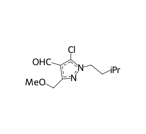 COCc1nn(CCC(C)C)c(Cl)c1C=O